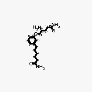 NC(=O)CCCCCc1cccc(OC[C@@H](N)CCC(N)=O)c1